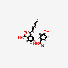 CC=CC=CCc1cc(O)ccc1C(=O)O.O=C(O)c1ccc(O)cc1